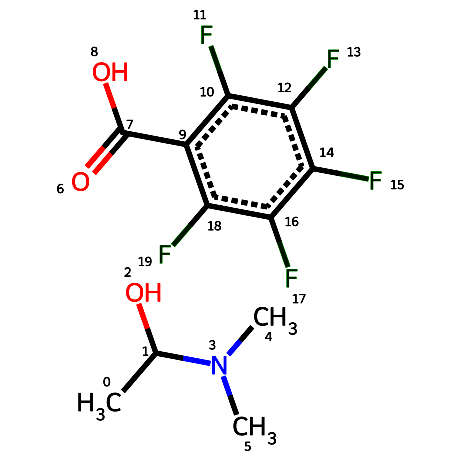 CC(O)N(C)C.O=C(O)c1c(F)c(F)c(F)c(F)c1F